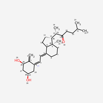 C=C1/C(=C\C=C2CCC[C@@]3(C)C2CC[C@@H]3[C@H](C)C(=O)CCC(C)C)C[C@@H](O)C[C@H]1O